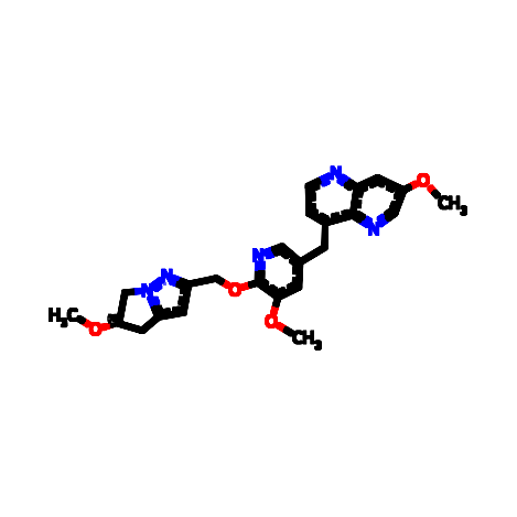 COc1cnc2c(Cc3cnc(OCc4cc5n(n4)C[C@H](OC)C5)c(OC)c3)ccnc2c1